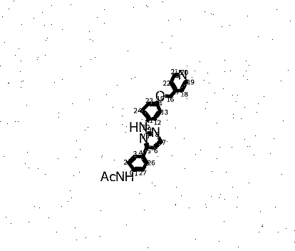 CC(=O)Nc1ccc(-c2ccnc(Nc3ccc(OCc4ccncc4)cc3)n2)cc1